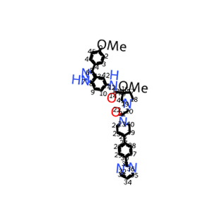 COc1ccc(-c2n[nH]c3ccc(NC(=O)[C@]4(OC)CCN(CC(=O)N5CC=C(c6ccc(-c7ncccn7)cc6)CC5)C4)cc23)cc1